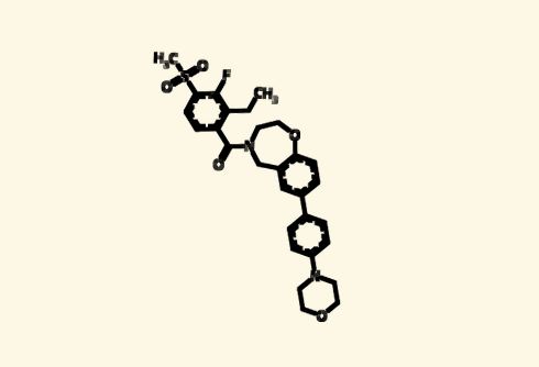 CCc1c(C(=O)N2CCOc3ccc(-c4ccc(N5CCOCC5)cc4)cc3C2)ccc(S(C)(=O)=O)c1F